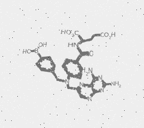 Nc1nc(N)c2nc(CN(Cc3ccc(B(O)O)cc3)c3ccc(C(=O)NC(CCC(=O)O)C(=O)O)cc3)cnc2n1